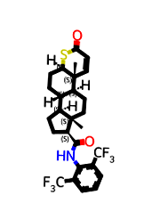 C[C@]12C=CC(=O)S[C@@H]1CC[C@@H]1[C@@H]2CC[C@]2(C)[C@@H](C(=O)Nc3c(C(F)(F)F)cccc3C(F)(F)F)CC[C@@H]12